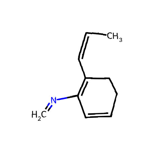 C=NC1=C(/C=C\C)CCC=C1